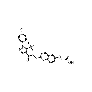 O=C(O)COc1ccc2cc(CNC(=O)c3cnn(-c4ccc(Cl)cc4)c3C(F)(F)F)ccc2c1